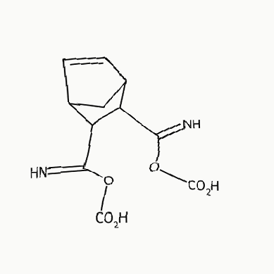 N=C(OC(=O)O)C1C2C=CC(C2)C1C(=N)OC(=O)O